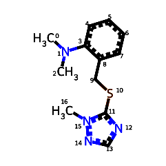 CN(C)c1ccccc1CSc1ncnn1C